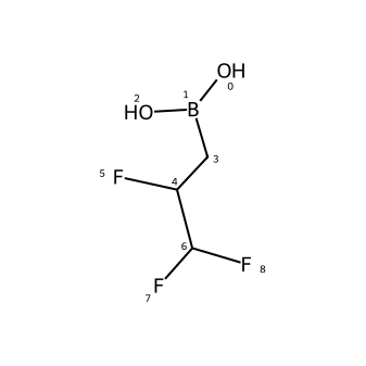 OB(O)CC(F)C(F)F